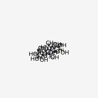 CC(=O)N/C(=C(\O)[C@@H](CCO)O[C@@H]1OC(CO)[C@H](O)C(O)C1O)[C@@H](O)OC1C(O)[C@H](O)C(CO)O[C@@H]1C